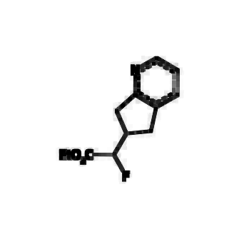 CCOC(=O)C(F)C1Cc2cccnc2C1